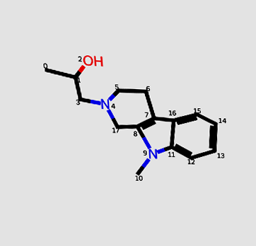 CC(O)CN1CCc2c(n(C)c3ccccc23)C1